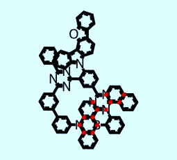 c1ccc(-c2nc(-c3ccccc3)nc(-c3ccc(-n4c5ccccc5c5c6oc7ccccc7c6ccc54)c(-c4nc(-c5ccccc5)nc(-c5cccc(-c6cccc(N7c8ccccc8B8c9ccccc9N(c9ccccc9)c9cccc7c98)c6)c5)n4)c3)n2)cc1